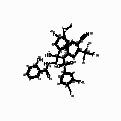 COc1ccc(C(O)(CNC(=O)c2ccccc2O)C(c2ccc(C#N)c(C(F)(F)F)c2)S(=O)(=O)c2ccc(F)c(F)c2)cc1F